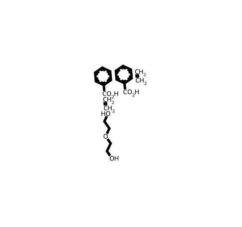 C=C.C=C.O=C(O)c1ccccc1.O=C(O)c1ccccc1.OCCOCCO